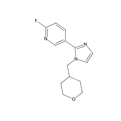 Fc1ccc(-c2nccn2CC2CCOCC2)cn1